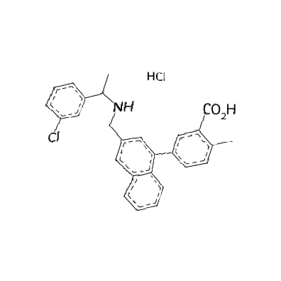 Cc1ccc(-c2cc(CNC(C)c3cccc(Cl)c3)cc3ccccc23)cc1C(=O)O.Cl